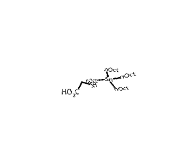 CCCCCCC[CH2][Sn]([CH2]CCCCCCC)([CH2]CCCCCCC)[CH2]CCCCCCC.O=C(O)CS